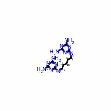 Nc1nc(N)nc(/N=C\CCC/C=N\c2nc(N)nc(N)n2)n1